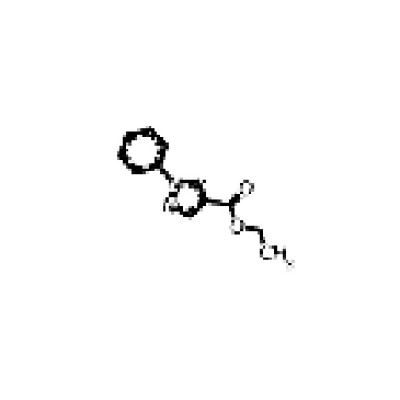 CCOC(=O)c1[c]n(-c2ccccc2)nc1